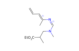 C=C/C=C(C)/N=C\N(C)CC(C)C(=O)OCC